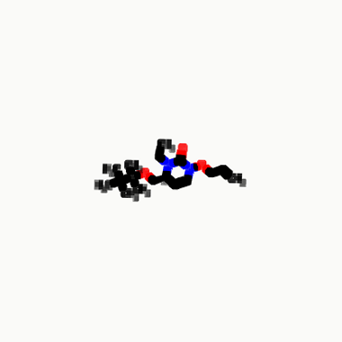 C=CCON1C=C[C@@H](CO[Si](C)(C)C(C)(C)C)N(CC)C1=O